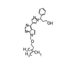 CS(C)(C)CCOCn1ccc2c(-c3cnn(C(CCO)c4ccccc4)c3)ncnc21